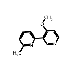 COc1ccncc1-c1cccc(C)n1